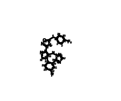 Fc1ccc(Cc2nc(-c3ncn4c3Cn3ncnc3-c3cc(F)ccc3-4)no2)cc1